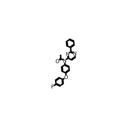 CC(=O)N(c1ccc(Oc2ccc(F)cc2)cc1)c1ccnc(-c2ccccc2)n1